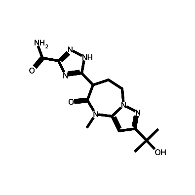 CN1C(=O)C(c2nc(C(N)=O)n[nH]2)CCn2nc(C(C)(C)O)cc21